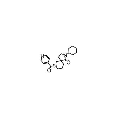 O=C(c1ccncc1)N1CCCC2(CCN(C3CCCCC3)C2=O)C1